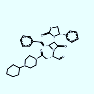 O=C[C@H](CC(=O)N1CCN(C2CCCCC2)CC1)N1C(=O)[C@@H](N2C(=O)OC[C@@H]2c2ccccc2)[C@H]1/C=C/c1ccccc1